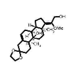 CO/C(CO)=C1/CC[C@H]2[C@@H]3CC=C4CC5(CC[C@]4(C)[C@@]3(O)CC[C@]12C)OCCO5